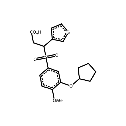 COc1ccc(S(=O)(=O)C(CC(=O)O)c2ccsc2)cc1OC1CCCC1